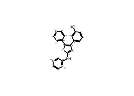 N#Cc1cccc(-c2nc(Nc3cnccn3)sc2-c2ccncn2)c1